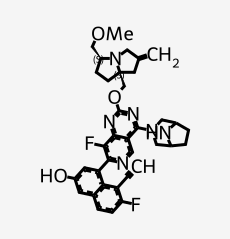 C#Cc1c(F)ccc2cc(O)cc(-c3ncc4c(N5CC6CCC(C5)N6)nc(OC[C@@]56CC[C@@H](COC)N5CC(=C)C6)nc4c3F)c12